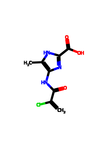 C=C(Cl)C(=O)Nc1nc(C(=O)O)[nH]c1C